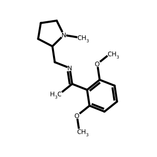 COc1cccc(OC)c1/C(C)=N/CC1CCCN1C